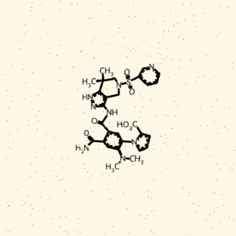 CN(C)c1cc(C(N)=O)c(C(=O)Nc2n[nH]c3c2CN(S(=O)(=O)c2cccnc2)CC3(C)C)cc1-n1cccc1C(=O)O